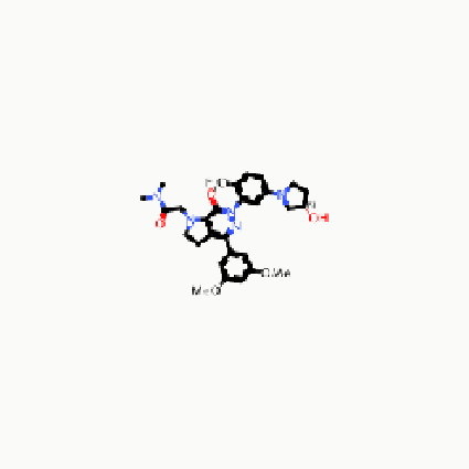 COc1cc(OC)cc(-c2nn(-c3cc(N4CC[C@H](O)C4)ccc3C(F)(F)F)c(=O)c3c2CCN3CC(=O)N(C)C)c1